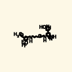 COCc1cc(CNCCCCOCCNc2cc(-c3cnnc(O)c3)cc3[nH]ncc23)cc(OC(F)(F)F)c1